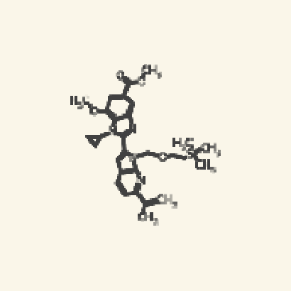 C=C(C)c1ccc2cc(-c3nc4cc(C(=O)OC)cc(OC)c4n3C3CC3)n(COCC[Si](C)(C)C)c2n1